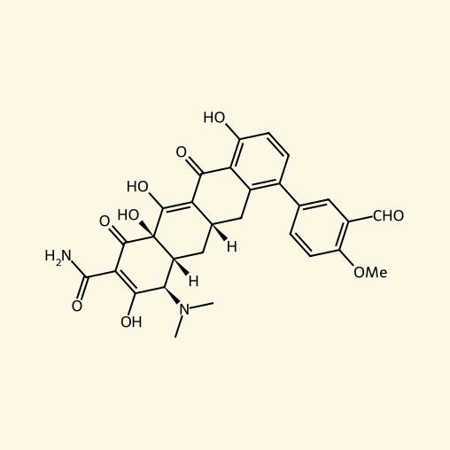 COc1ccc(-c2ccc(O)c3c2C[C@@H]2C[C@@H]4[C@@H](N(C)C)C(O)=C(C(N)=O)C(=O)[C@]4(O)C(O)=C2C3=O)cc1C=O